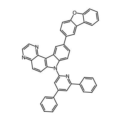 c1ccc(-c2cc(-c3ccccc3)nc(-n3c4ccc(-c5ccc6oc7ccccc7c6c5)cc4c4c5nccnc5ccc43)c2)cc1